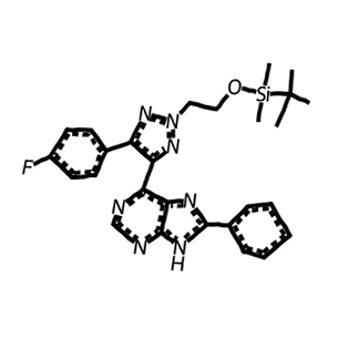 CC(C)(C)[Si](C)(C)OCCn1nc(-c2ccc(F)cc2)c(-c2ncnc3[nH]c(-c4ccccc4)nc23)n1